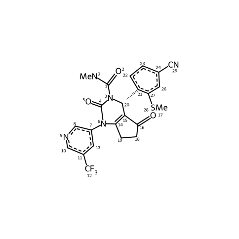 CNC(=O)N1C(=O)N(c2cncc(C(F)(F)F)c2)C2=C(C(=O)CC2)[C@H]1c1ccc(C#N)cc1SC